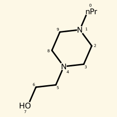 [CH2]CCN1CCN(CCO)CC1